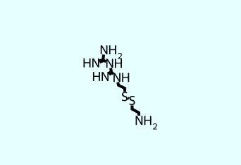 N=C(N)NC(=N)NCCSSCCN